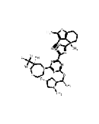 [2H]C([2H])([2H])[C@]1(O)COCCN(c2nc(O[C@@H](C)[C@@H]3C[C@@H](F)CN3C)nc(-c3noc([C@@]4(C)CCCc5sc(N)c(C#N)c54)n3)n2)C1